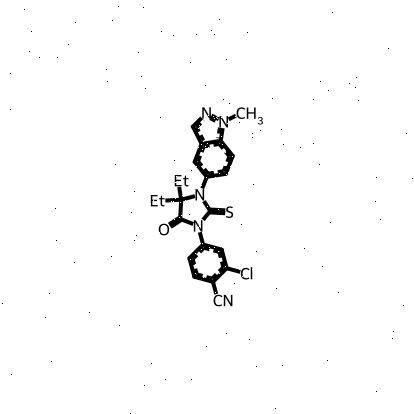 CCC1(CC)C(=O)N(c2ccc(C#N)c(Cl)c2)C(=S)N1c1ccc2c(cnn2C)c1